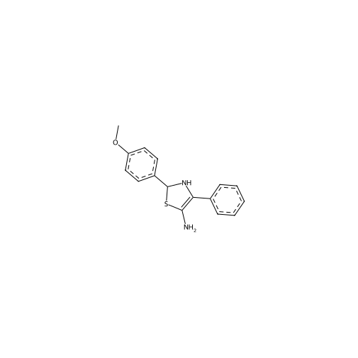 COc1ccc(C2NC(c3ccccc3)=C(N)S2)cc1